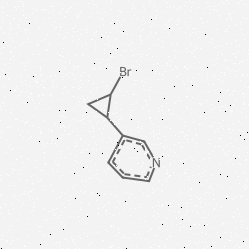 BrC1CC1c1cccnc1